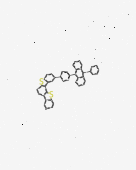 c1ccc(-c2c3ccccc3c(-c3ccc(-c4ccc5sc6ccc7c8ccccc8sc7c6c5c4)cc3)c3ccccc23)cc1